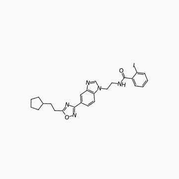 O=C(NCCn1cnc2cc(-c3noc(CCC4CCCC4)n3)ccc21)c1ccccc1I